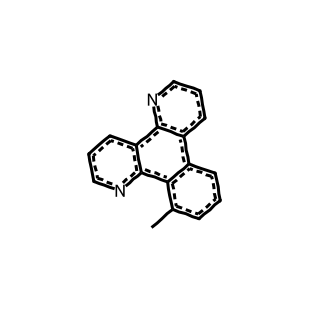 Cc1cccc2c3cccnc3c3cccnc3c12